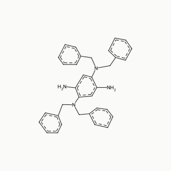 Nc1cc(N(Cc2ccccc2)Cc2ccccc2)c(N)cc1N(Cc1ccccc1)Cc1ccccc1